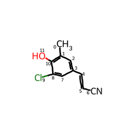 Cc1cc(/C=C/C#N)cc(Cl)c1O